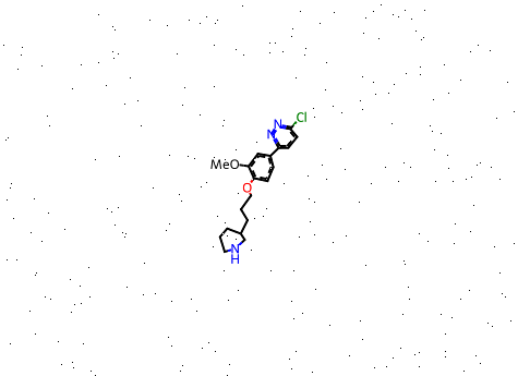 COc1cc(-c2ccc(Cl)nn2)ccc1OCCCC1CCCNC1